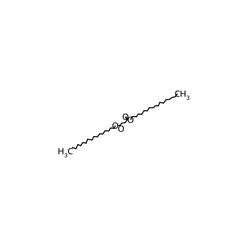 CCCCCCCCCCCCCCCCCOC(=O)CCC(=O)OCCCCCCCCCCCCCCCCC